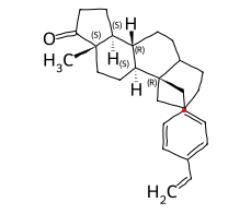 C=Cc1ccc(C[C@]23CCCCC2CC[C@@H]2[C@@H]3CC[C@]3(C)C(=O)CC[C@@H]23)cc1